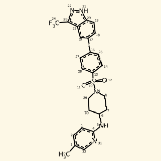 Cc1ccc(NC2CCN(S(=O)(=O)c3ccc(-c4ccc5[nH]nc(C(F)(F)F)c5c4)cc3)CC2)nc1